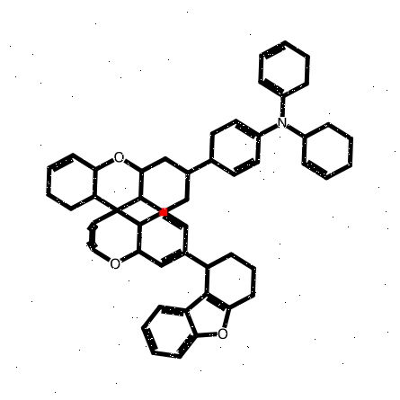 C1=CCCC(N(C2=CCC(C3CCC4C(C3)OC3C=CCCC3C43C4=CCCC=C4OC4C=C(C5CCCc6oc7ccccc7c65)C=CC43)C=C2)C2C=CCCC2)=C1